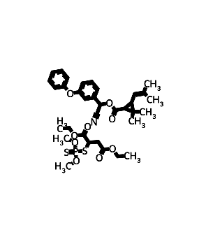 CC(C)=CC1C(C(=O)OC(C#N)c2cccc(Oc3ccccc3)c2)C1(C)C.CCOC(=O)CC(SP(=S)(OC)OC)C(=O)OCC